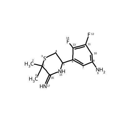 CC1(C)SCC(c2cc(N)cc(F)c2F)NC1=N